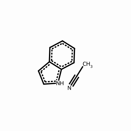 CC#N.c1ccc2[nH]ccc2c1